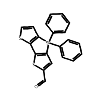 O=Cc1cc2c(s1)-c1sccc1[Si]2(c1ccccc1)c1ccccc1